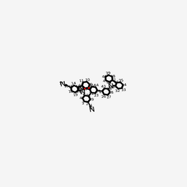 N#Cc1ccc(-n2c3ccccc3c3cc(C#N)ccc32)c(-c2cc(-c3cccc(-n4c5ccccc5c5ccccc54)c3)ccc2C#N)c1